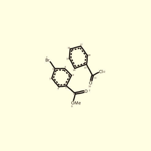 COC(=O)c1ccc(Br)cc1.O=C(Cl)c1ccccc1